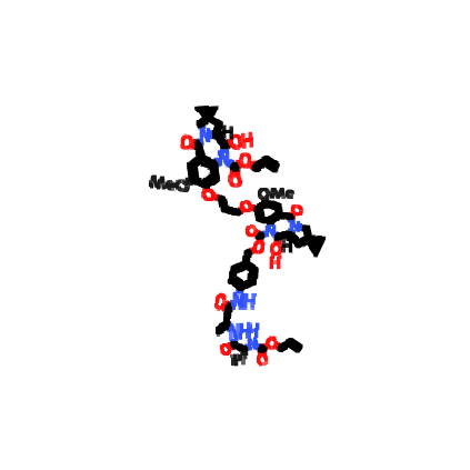 C=CCOC(=O)NC(C(=O)NC(C)C(=O)Nc1ccc(COC(=O)N2c3cc(OCCCOc4cc5c(cc4OC)C(=O)N4CC6(CC6)C[C@H]4C(O)N5C(=O)OCC=C)c(OC)cc3C(=O)N3CC4(CC4)C[C@H]3C2O)cc1)C(C)C